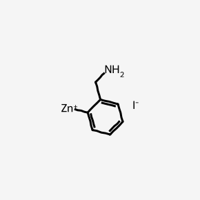 NCc1cccc[c]1[Zn+].[I-]